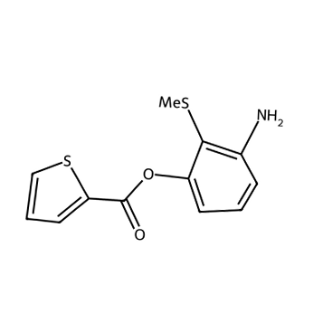 CSc1c(N)cccc1OC(=O)c1cccs1